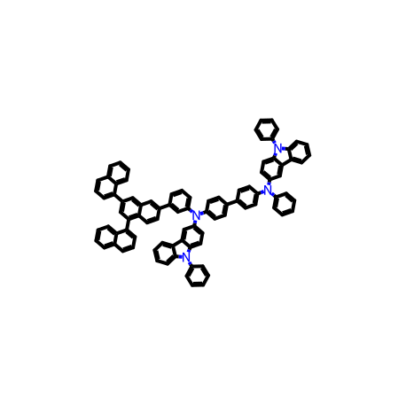 c1ccc(N(c2ccc(-c3ccc(N(c4cccc(-c5ccc6c(-c7cccc8ccccc78)cc(-c7cccc8ccccc78)cc6c5)c4)c4ccc5c(c4)c4ccccc4n5-c4ccccc4)cc3)cc2)c2ccc3c(c2)c2ccccc2n3-c2ccccc2)cc1